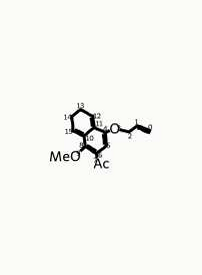 C=CCOc1cc(C(C)=O)c(OC)c2c1=CCCC=2